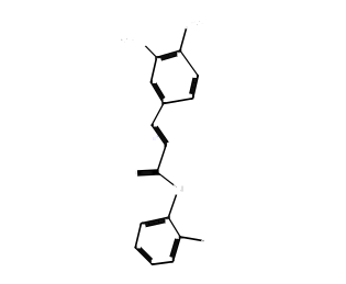 COc1ccc(/C=C/C(=O)Nc2ccccc2C(=O)O)cc1OC.[Cr]